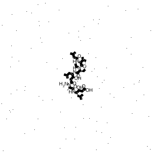 CC[C@@H](C(=O)NC(CC(C)C)[C@@H](O)CC(=O)N(N)[C@@H](C)C(=O)N[C@@H](CC(C)C)[C@@H](O)CC(=O)O)N(CC)C(=O)[C@@H](NC(=O)CC(C)C)C(C)C